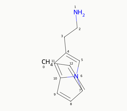 C.NCCc1cn2c3ccc2c1c3